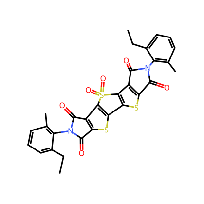 CCc1cccc(C)c1N1C(=O)c2sc3c(c2C1=O)S(=O)(=O)c1c-3sc2c1C(=O)N(c1c(C)cccc1CC)C2=O